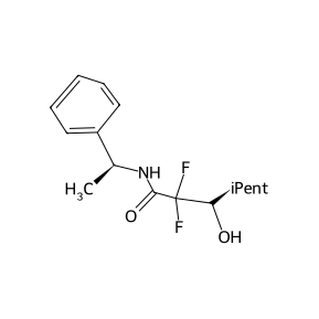 CCC[C@H](C)C(O)C(F)(F)C(=O)N[C@@H](C)c1ccccc1